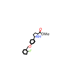 COC(=O)C1CCC(c2ccc(OCc3ccccc3F)cc2)N1